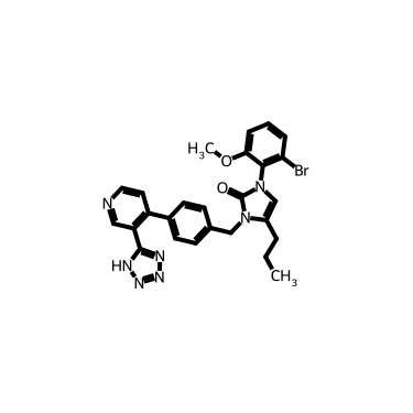 CCCc1cn(-c2c(Br)cccc2OC)c(=O)n1Cc1ccc(-c2ccncc2-c2nnn[nH]2)cc1